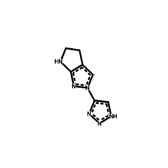 [c]1c2c(nn1-c1c[nH]nn1)NCC2